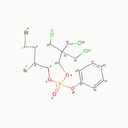 O=P(OCC(Br)CCBr)(OCC(CCl)(CCl)CCl)Oc1ccccc1